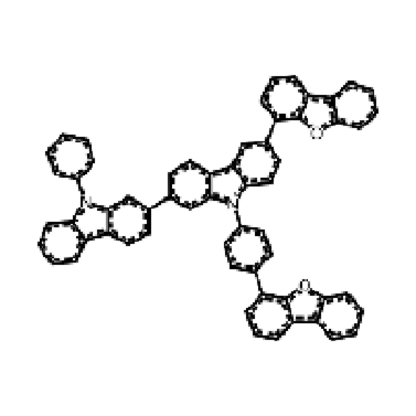 c1ccc(-n2c3ccccc3c3ccc(-c4ccc5c6cc(-c7cccc8c7oc7ccccc78)ccc6n(-c6ccc(-c7cccc8c7oc7ccccc78)cc6)c5c4)cc32)cc1